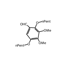 CCCCCOc1cc(C=O)c(OCCCCC)c(OC)c1OC